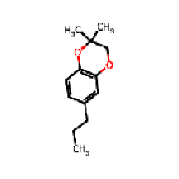 CCCc1ccc2c(c1)OCC(C)(C)O2